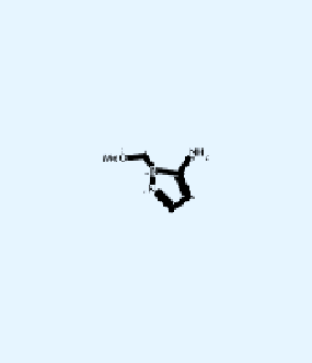 COCn1nccc1N